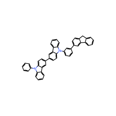 c1ccc(-n2c3ccccc3c3cc(-c4ccc5c(c4)c4ccccc4n5-c4cccc(-c5ccc6c(c5)-c5ccccc5C6)c4)ccc32)cc1